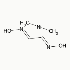 ON=CC=NO.[CH3][Ni][CH3]